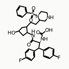 O=C(O)N[C@@H](C(=O)NC1CC(O)CC1CCC1CNCCN1S(=O)(=O)c1ccccc1)C(c1ccc(F)cc1)c1ccc(F)cc1